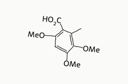 COc1cc(OC)c(C(=O)O)c(C)c1OC